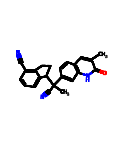 Cc1cc2ccc(C(C)(C#N)C3CCc4c(C#N)cccc43)cc2[nH]c1=O